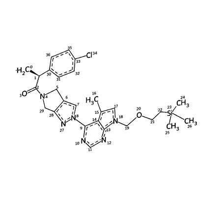 [CH2][C@H](C(=O)N1Cc2cn(-c3ncnc4c3c(C)cn4COCC[Si](C)(C)C)nc2C1)c1ccc(Cl)cc1